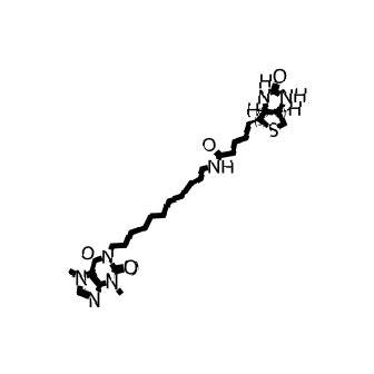 Cn1cnc2c1c(=O)n(CCCCCCCCCCCNC(=O)CCCC[C@@H]1SC[C@@H]3NC(=O)N[C@@H]31)c(=O)n2C